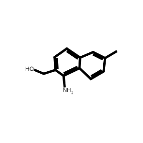 Cc1ccc2c(N)c(CO)ccc2c1